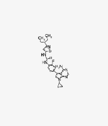 CCC(CC)c1cc(NC(=O)Nc2ccc(-c3cn(C4CC4)c4ncnc(N)c34)cc2F)on1